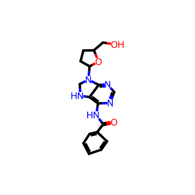 O=C(Nc1ncnc2c1NCN2C1CCC(CO)O1)c1ccccc1